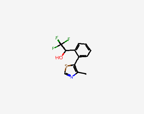 Cc1ncsc1-c1ccccc1C(O)C(F)(F)F